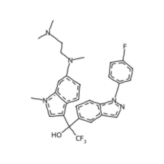 CN(C)CCN(C)c1ccc2c(C(O)(c3ccc4c(cnn4-c4ccc(F)cc4)c3)C(F)(F)F)cn(C)c2c1